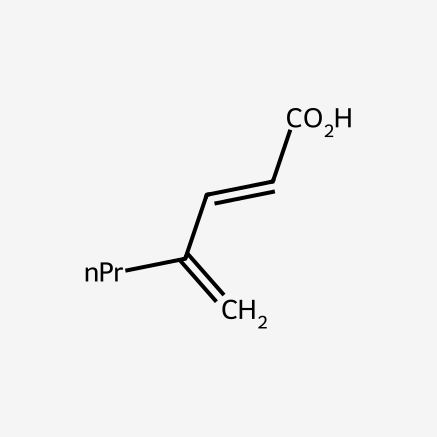 C=C(C=CC(=O)O)CCC